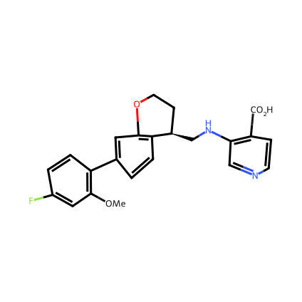 COc1cc(F)ccc1-c1ccc2c(c1)OCC[C@H]2CNc1cnccc1C(=O)O